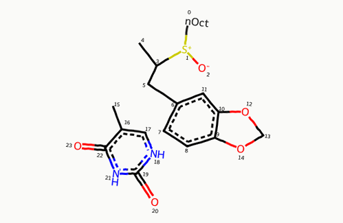 CCCCCCCC[S+]([O-])C(C)Cc1ccc2c(c1)OCO2.Cc1c[nH]c(=O)[nH]c1=O